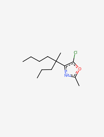 CCCCC(C)(CCC)c1nc(C)oc1Cl